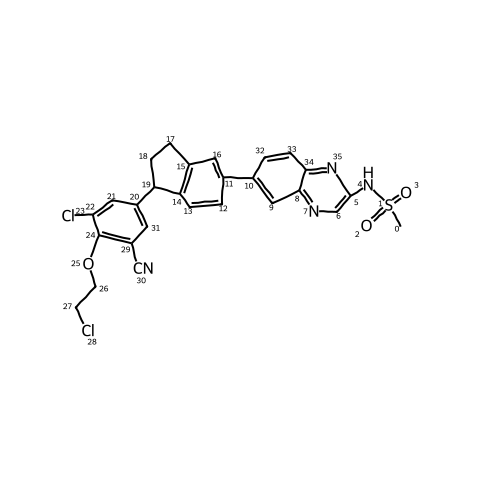 CS(=O)(=O)Nc1cnc2cc(-c3ccc4c(c3)CCC4c3cc(Cl)c(OCCCl)c(C#N)c3)ccc2n1